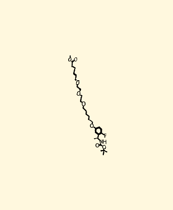 COC(=O)CCCCCOCCOCCOCCCCCCOc1ccc(F)c([C@H](C)NC(=O)OC(C)(C)C)c1